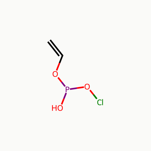 C=COP(O)OCl